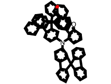 c1ccc2c(c1)-c1ccccc1C21c2ccccc2-c2ccc(N(c3ccc4c(c3)C3(c5ccccc5-c5ccccc53)c3ccccc3-4)c3cccc4oc5c6ccccc6c(-c6ccc7ccccc7c6)cc5c34)cc21